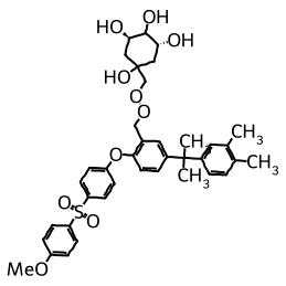 COc1ccc(S(=O)(=O)c2ccc(Oc3ccc(C(C)(C)c4ccc(C)c(C)c4)cc3COOCC3(O)C[C@@H](O)C(O)[C@H](O)C3)cc2)cc1